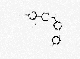 COc1cc(N)ncc1C1CCN(C(=O)c2ccc(Oc3ccc(F)cc3)cc2)CC1